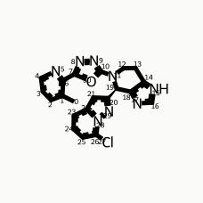 Cc1cccnc1-c1nnc(N2CCc3[nH]cnc3[C@H]2c2cc3cccc(Cl)n3n2)o1